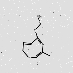 CC1=C/CC/C=C/C(OCC(C)(C)C)=N\1